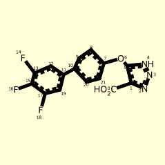 O=C(O)c1nn[nH]c1Oc1ccc(-c2cc(F)c(F)c(F)c2)cc1